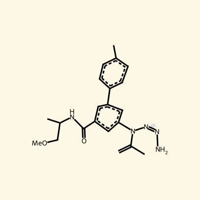 C=C(C)N(/N=N\N)c1cc(C(=O)NC(C)COC)cc(-c2ccc(C)cc2)c1